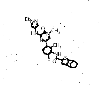 CCn1cc(Nc2nc(-c3ccc(F)c(NC(=O)c4cc5c(s4)C4CCC5C4)c3C)cn(C)c2=O)cn1